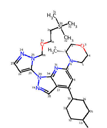 C[C@@H]1COCCN1c1cc(C2CCC(C(=O)O)CC2)c2cnn(-c3ccnn3COCC[Si](C)(C)C)c2n1